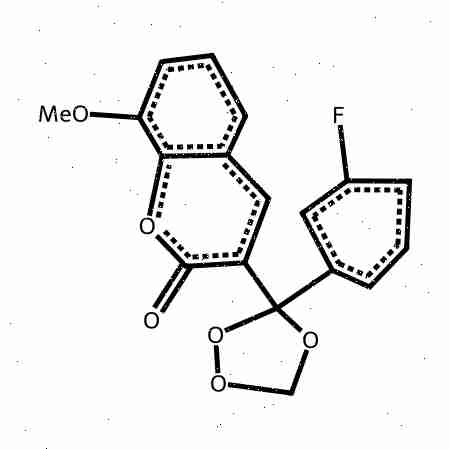 COc1cccc2cc(C3(c4cccc(F)c4)OCOO3)c(=O)oc12